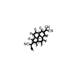 C#CC(C#N)=c1c(F)c2c(F)c(F)c3c(F)c(=C(C#N)C#N)c(F)c4c(F)c(F)c(c1F)c2c34